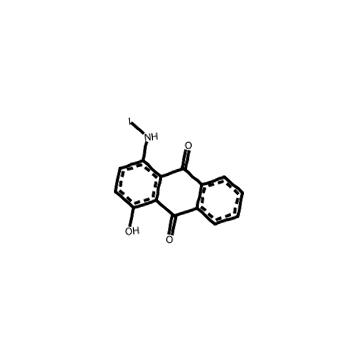 O=C1c2ccccc2C(=O)c2c(NI)ccc(O)c21